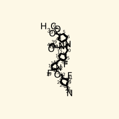 COC(=O)c1ccc2nc(Cc3ccc(-c4ccc(F)c(OCc5ccc(C#N)cc5F)n4)c(F)c3)n(C[C@@H]3CCO3)c2c1